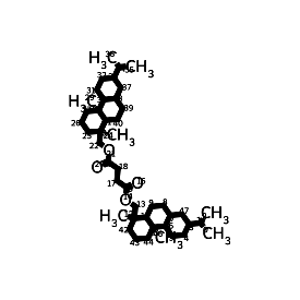 CC(C)C1CCC2C(CCC3C(C)(COC(=O)CCC(=O)OC[C@@]4(C)CCC[C@@]5(C)C6CCC(C(C)C)CC6CCC45)CCCC23C)C1